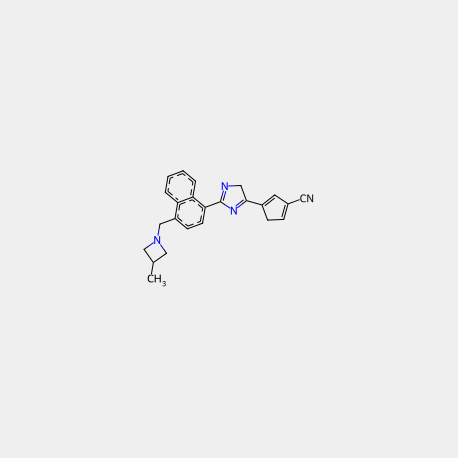 CC1CN(Cc2ccc(C3=NCC(C4=CC(C#N)=CC4)=N3)c3ccccc23)C1